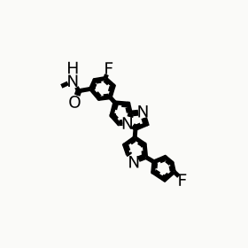 CNC(=O)c1cc(F)cc(-c2ccn3c(-c4ccnc(-c5ccc(F)cc5)c4)cnc3c2)c1